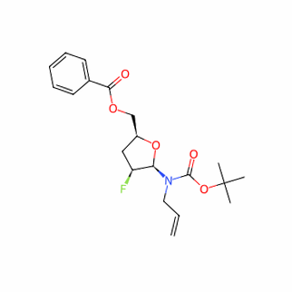 C=CCN(C(=O)OC(C)(C)C)[C@@H]1O[C@H](COC(=O)c2ccccc2)C[C@@H]1F